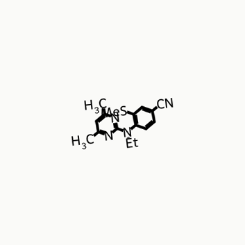 CCN(c1nc(C)cc(C)n1)c1ccc(C#N)cc1SC